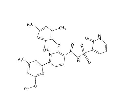 CCOc1cc(C)cc(-c2ccc(C(=O)NS(=O)(=O)c3ccc[nH]c3=O)c(Oc3c(C)cc(C)cc3C)n2)n1